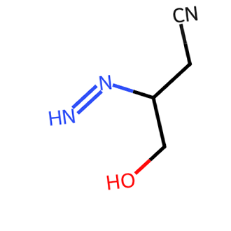 N#CCC(CO)N=N